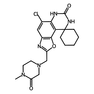 CN1CCN(Cc2nc3cc(Cl)c4c(c3o2)C2(CCCCC2)NC(=O)N4)CC1=O